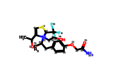 CC(O)C1=CSC(C(F)(F)F)[N+]1(CCO)C(C)Cc1ccc(OCC(N)=O)cc1